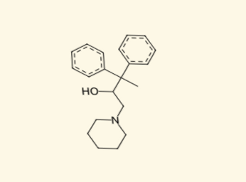 CC(c1ccccc1)(c1ccccc1)C(O)CN1CCCCC1